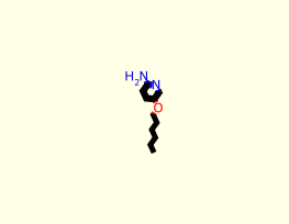 CCCCCCOc1ccc(N)nc1